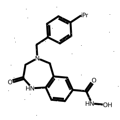 CC(C)c1ccc(CN2CC(=O)Nc3ccc(C(=O)NO)cc3C2)cc1